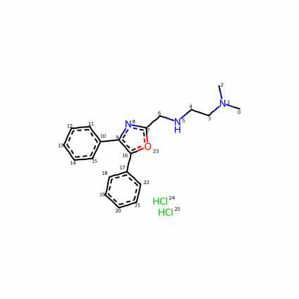 CN(C)CCNCc1nc(-c2ccccc2)c(-c2ccccc2)o1.Cl.Cl